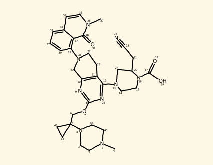 CN1CCN(C2(COc3nc4c(c(N5CCN(C(=O)O)C(CC#N)C5)n3)CCN(c3cccc5ccn(C)c(=O)c35)C4)CC2)CC1